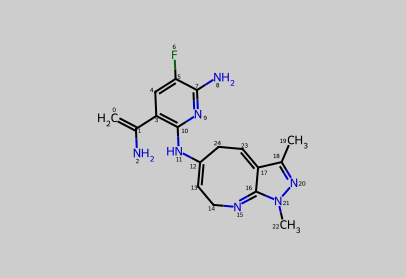 C=C(N)c1cc(F)c(N)nc1N/C1=C/C/N=c2\c(c(C)nn2C)=C/C1